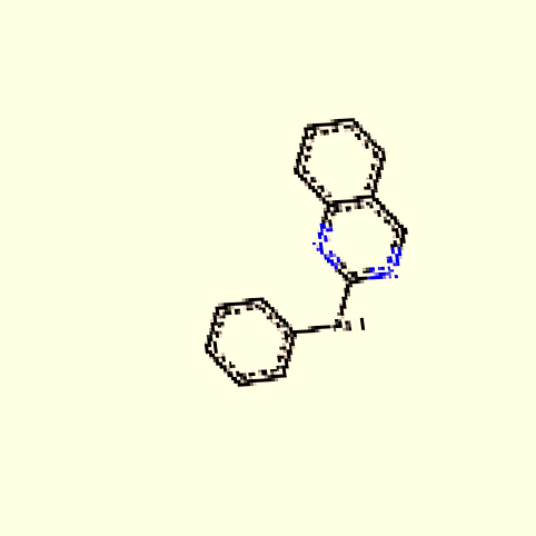 c1ccc([AsH]c2ncc3ccccc3n2)cc1